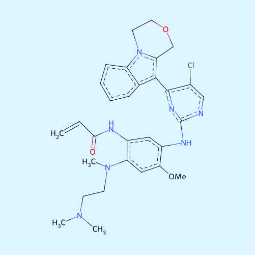 C=CC(=O)Nc1cc(Nc2ncc(Cl)c(-c3c4n(c5ccccc35)CCOC4)n2)c(OC)cc1N(C)CCN(C)C